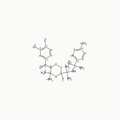 BC(B)(NC(B)(B)C1(F)CCN(C(=O)c2ccc(F)c(Cl)c2)C(B)(B)C1)c1ccc(C)cn1